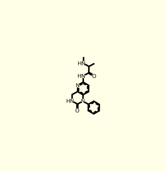 CNC(C)C(=O)Nc1ccc2c(n1)CNC(=O)N2c1ccccc1